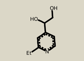 CCc1cc(C(O)CO)ccn1